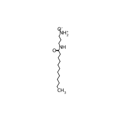 CCCCCCCCCCCC(=O)NCCC[NH2+][O-]